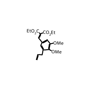 C=CCc1cc(C=C(C(=O)OCC)C(=O)OCC)cc(OC)c1OC